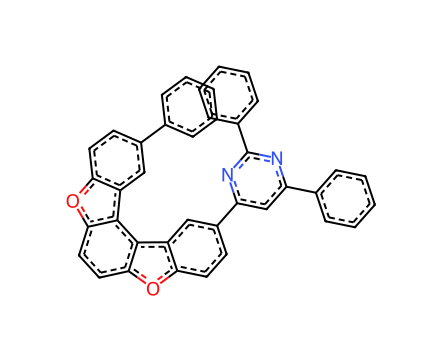 c1ccc(-c2ccc3oc4ccc5oc6ccc(-c7cc(-c8ccccc8)nc(-c8ccccc8)n7)cc6c5c4c3c2)cc1